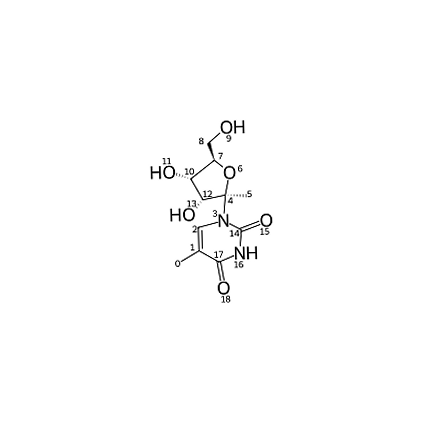 Cc1cn([C@]2(C)O[C@H](CO)[C@@H](O)[C@H]2O)c(=O)[nH]c1=O